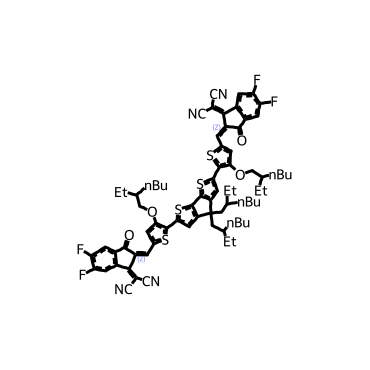 CCCCC(CC)COc1cc(/C=C2\C(=O)c3cc(F)c(F)cc3C2=C(C#N)C#N)sc1-c1cc2c(s1)-c1sc(-c3sc(/C=C4\C(=O)c5cc(F)c(F)cc5C4=C(C#N)C#N)cc3OCC(CC)CCCC)cc1C2(CC(CC)CCCC)CC(CC)CCCC